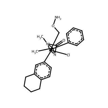 CC1(c2ccc3c(c2)CCCC3)N2C(=O)[N+]1(C)N(CON)C2(Cl)c1ccccc1